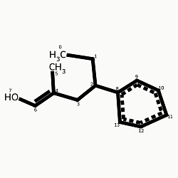 CCC(C/C(C)=C/O)c1ccccc1